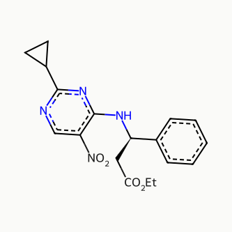 CCOC(=O)C[C@@H](Nc1nc(C2CC2)ncc1[N+](=O)[O-])c1ccccc1